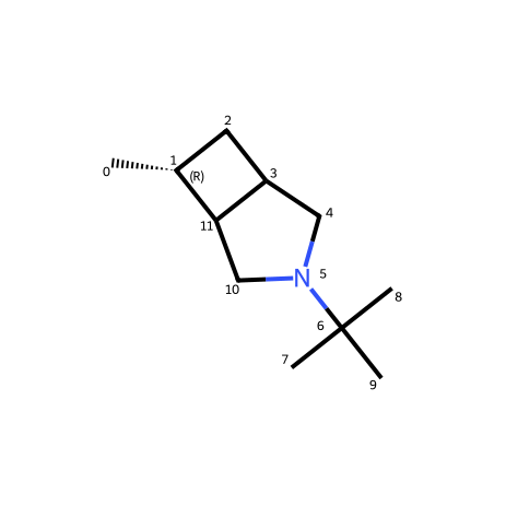 C[C@@H]1CC2CN(C(C)(C)C)CC21